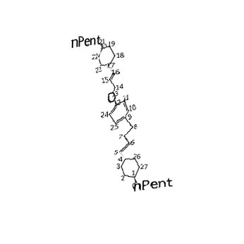 CCCCC[C@H]1CC[C@H](C=CCCc2ccc(OCC=C[C@H]3CC[C@H](CCCCC)CC3)cc2)CC1